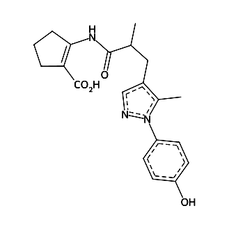 Cc1c(CC(C)C(=O)NC2=C(C(=O)O)CCC2)cnn1-c1ccc(O)cc1